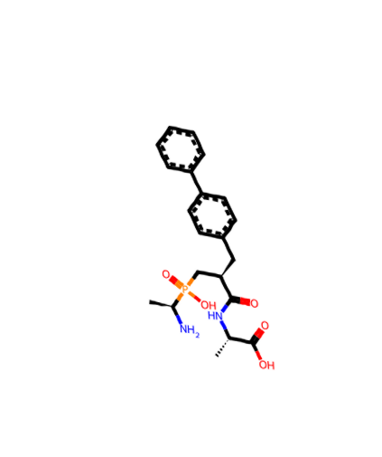 C[C@H](NC(=O)[C@H](Cc1ccc(-c2ccccc2)cc1)CP(=O)(O)[C@H](C)N)C(=O)O